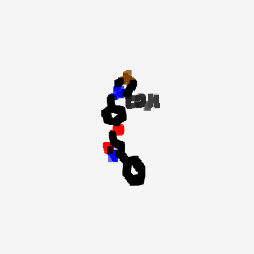 O=C(O)C1CSCN1Cc1ccc(OCc2cc(-c3ccccc3)no2)cc1